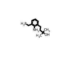 BCc1cccc(CCC(C)(C)O)c1N